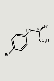 CC(C)[C@H](Nc1ccc(Br)cc1)C(=O)O